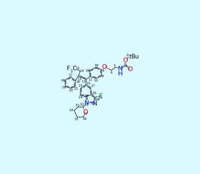 CC(C)(C)OC(=O)NCCOc1ccc(C(=C(CC(F)(F)F)c2ccccc2)c2ccc3c(c2)c(F)nn3C2CCCCO2)cc1